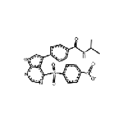 CC(C)NC(=O)c1ccc(-c2c[nH]c3ncnc(S(=O)(=O)c4ccc([N+](=O)[O-])cc4)c23)cc1